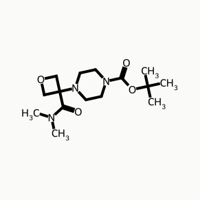 CN(C)C(=O)C1(N2CCN(C(=O)OC(C)(C)C)CC2)COC1